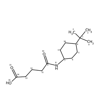 CC(C)(C)C1CCC(NC(=O)CCCC(=O)O)CC1